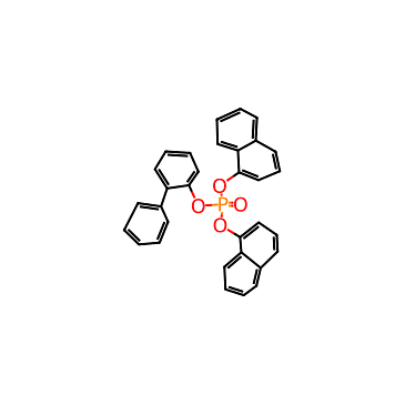 O=P(Oc1ccccc1-c1ccccc1)(Oc1cccc2ccccc12)Oc1cccc2ccccc12